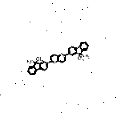 CC1(C(F)(F)F)c2ccccc2-c2ccc(-c3ccc4nc(-c5ccc6c(c5)C(C)(C(F)(F)F)c5ccccc5-6)ccc4n3)cc21